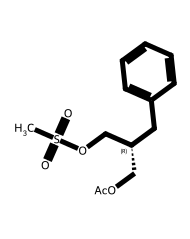 CC(=O)OC[C@H](COS(C)(=O)=O)Cc1ccccc1